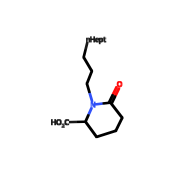 CCCCCCCCCCN1C(=O)CCCC1C(=O)O